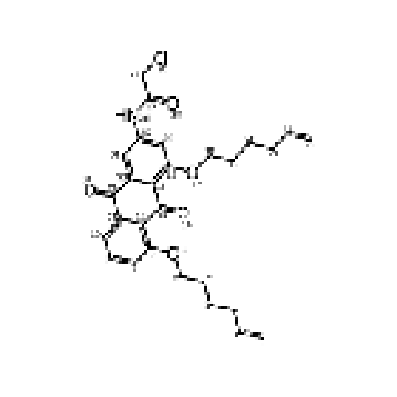 C=CCCCCOc1cccc2c1C(=O)c1c(OCCCCC=C)cc(NC(=O)CCl)cc1C2=O